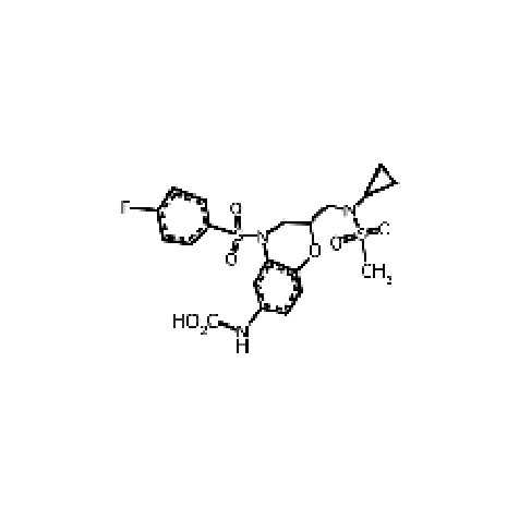 CS(=O)(=O)N(CC1CN(S(=O)(=O)c2ccc(F)cc2)c2cc(NC(=O)O)ccc2O1)C1CC1